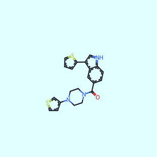 O=C(c1ccc2[nH]cc(-c3cccs3)c2c1)N1CCN(c2ccsc2)CC1